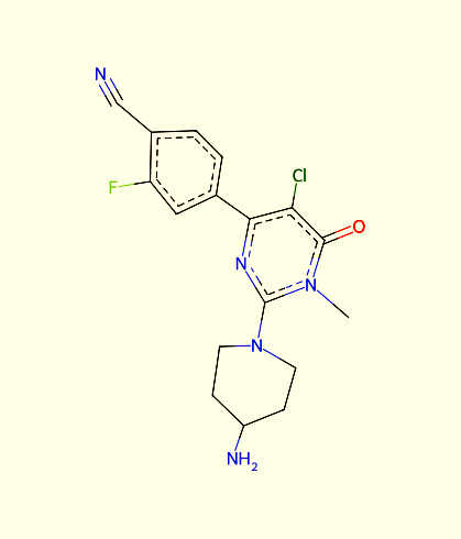 Cn1c(N2CCC(N)CC2)nc(-c2ccc(C#N)c(F)c2)c(Cl)c1=O